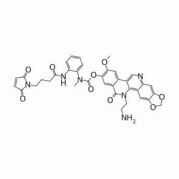 COc1cc2c(cc1OC(=O)N(C)c1ccccc1NC(=O)CCCN1C(=O)C=CC1=O)c(=O)n(CCN)c1c3cc4c(cc3ncc21)OCO4